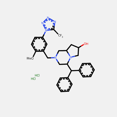 COc1ccc(-n2nnnc2C(F)(F)F)cc1CN1CC2CC(O)CN2C(C(c2ccccc2)c2ccccc2)C1.Cl.Cl